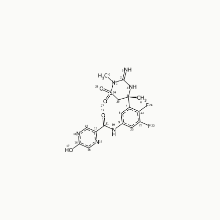 CN1C(=N)N[C@](C)(c2cc(NC(=O)c3cnc(O)cn3)cc(F)c2F)CS1(=O)=O